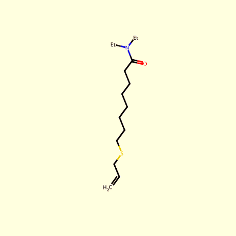 C=CCSCCCCCCCC(=O)N(CC)CC